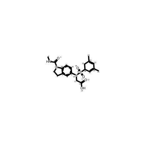 CNC(=O)N1CCc2cc(N(CC(=O)O)S(=O)(=O)C3C=C(C)C=C(C)C3)ccc21